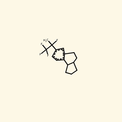 CC(F)(c1ccc2c(c1)CCC1CCCC21)C(F)(F)F